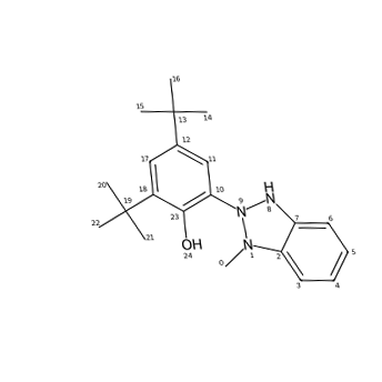 CN1c2ccccc2NN1c1cc(C(C)(C)C)cc(C(C)(C)C)c1O